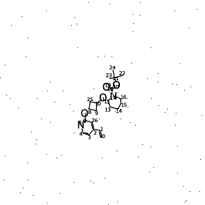 C=Cc1ccnc(OC2CC(OC3CCCCN3C(=O)OC(C)(C)C)C2)c1